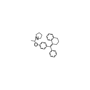 CC(Oc1ccc(C(=C2CCCc3ccccc32)c2ccccc2)cc1)N1CCCC1